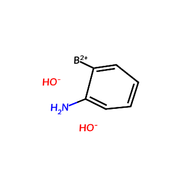 [B+2]c1ccccc1N.[OH-].[OH-]